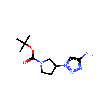 CC(C)(C)OC(=O)N1CCC(n2cc(N)nn2)C1